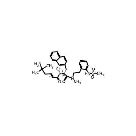 CN(CCc1ccccc1NS(C)(=O)=O)C(=O)[C@@H](Cc1ccc2ccccc2c1)N(C)C(=O)/C=C/CC(C)(C)N